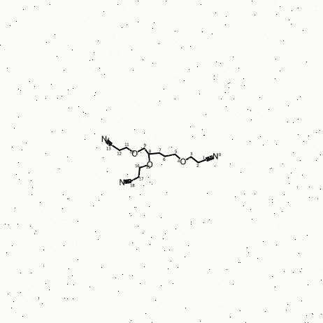 N#CCCOCCCC(COCCC#N)OCCC#N